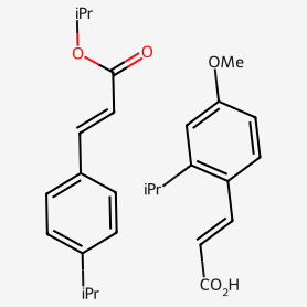 CC(C)OC(=O)C=Cc1ccc(C(C)C)cc1.COc1ccc(C=CC(=O)O)c(C(C)C)c1